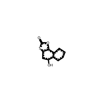 O=c1oc2c(cc(O)c3ccccc32)s1